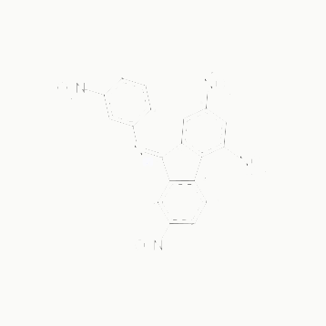 O=[N+]([O-])c1cccc(/N=C2/c3cc([N+](=O)[O-])ccc3-c3c2cc([N+](=O)[O-])cc3[N+](=O)[O-])c1